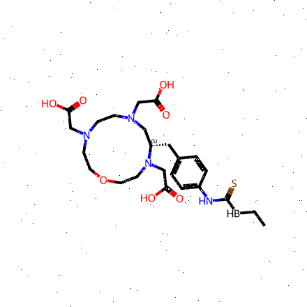 CCBC(=S)Nc1ccc(C[C@H]2CN(CC(=O)O)CCN(CC(=O)O)CCOCCN2CC(=O)O)cc1